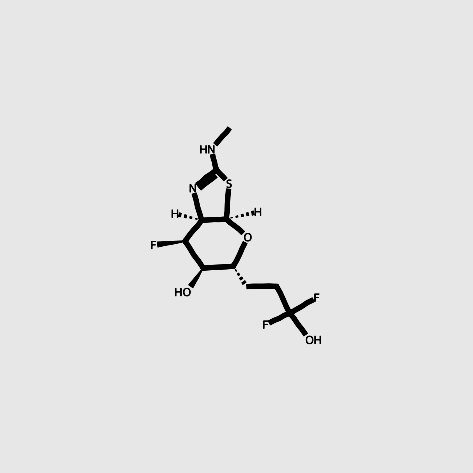 CNC1=N[C@@H]2[C@H](F)[C@H](O)[C@@H](CCC(O)(F)F)O[C@@H]2S1